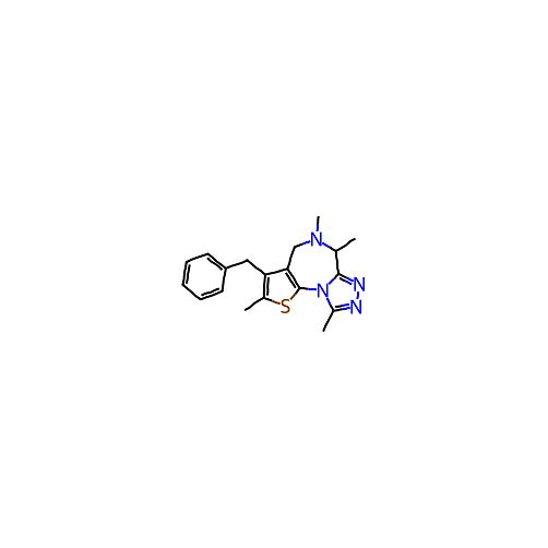 Cc1sc2c(c1Cc1ccccc1)CN(C)C(C)c1nnc(C)n1-2